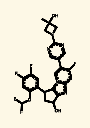 CC1(O)CN(c2ncc(-c3cn4c5c(nc4cc3F)C(O)CC5c3cc(F)c(F)cc3OC(F)F)cn2)C1